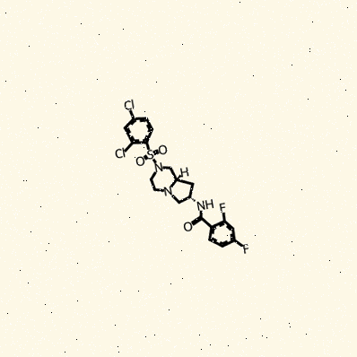 O=C(N[C@H]1C[C@H]2CN(S(=O)(=O)c3ccc(Cl)cc3Cl)CCN2C1)c1ccc(F)cc1F